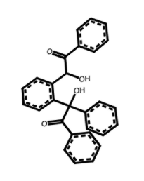 O=C(c1ccccc1)C(O)c1ccccc1C(O)(C(=O)c1ccccc1)c1ccccc1